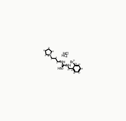 Cl.Cl.N=C(NCCCN1CCCC1)NCc1ccccc1Br